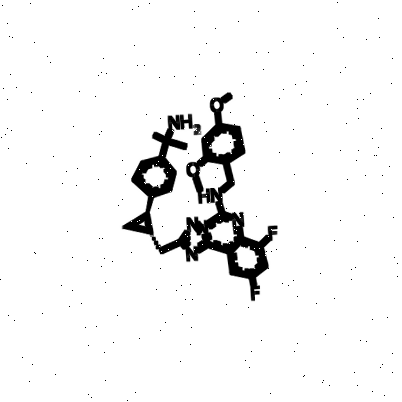 COc1ccc(CNc2nc3c(F)cc(F)cc3c3nc(C[C@@H]4C[C@H]4c4ccc(C(C)(C)N)cc4)nn23)c(OC)c1